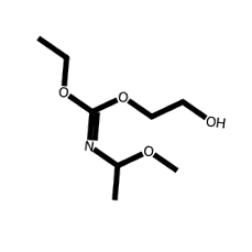 CCOC(=NC(C)OC)OCCO